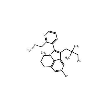 CO[C@@H](C)c1ncccc1-c1c(CC(C)(C)CO)c2cc(Br)cc3c2n1CCC3